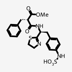 COC(=O)[C@@H](Cc1ccccc1)C(=O)N[C@@H](Cc1ccc(NS(=O)(=O)O)cc1)C1=NCCS1